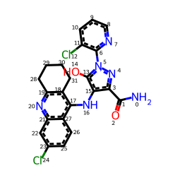 NC(=O)c1nn(-c2ncccc2Cl)c(O)c1Nc1c2c(nc3cc(Cl)ccc13)CCCC2